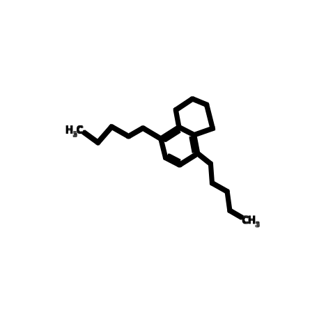 CCCCCc1ccc(CCCCC)c2c1CCCC2